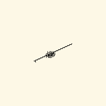 CCCCCCCCCCCCCCCCCC(=O)N[C@@H](CC(=O)OCCCCCCCCCCC(C)C)C(=O)O